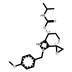 COc1ccc(Cn2[nH]c3c2[C@@]2(CC[C@H]3OC(=O)NC(C)C)CO2)cc1